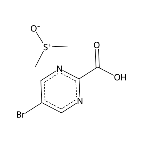 C[S+](C)[O-].O=C(O)c1ncc(Br)cn1